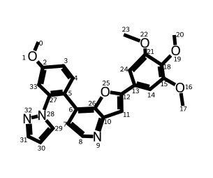 COc1ccc(-c2ccnc3cc(-c4cc(OC)c(OC)c(OC)c4)oc23)c(-n2cccn2)c1